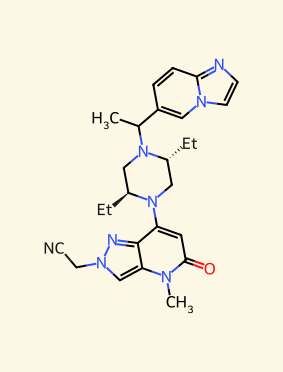 CC[C@H]1CN(C(C)c2ccc3nccn3c2)[C@H](CC)CN1c1cc(=O)n(C)c2cn(CC#N)nc12